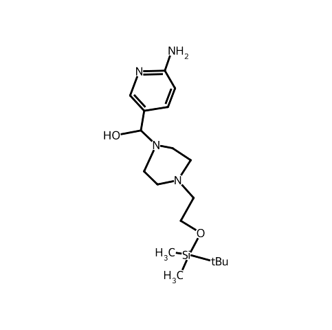 CC(C)(C)[Si](C)(C)OCCN1CCN(C(O)c2ccc(N)nc2)CC1